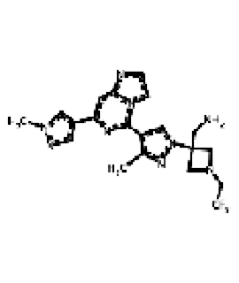 Cc1nn(C2(CN)CN(CC(F)(F)F)C2)cc1-c1nc(-c2cnn(C)c2)cc2nccn12